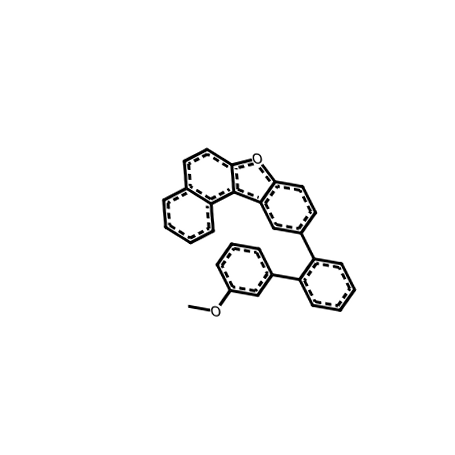 COc1cccc(-c2ccccc2-c2ccc3oc4ccc5ccccc5c4c3c2)c1